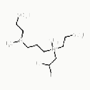 CCC(O)C[N+](C)(CCCN(C)CCS(=O)(=O)O)CCS(=O)(=O)O